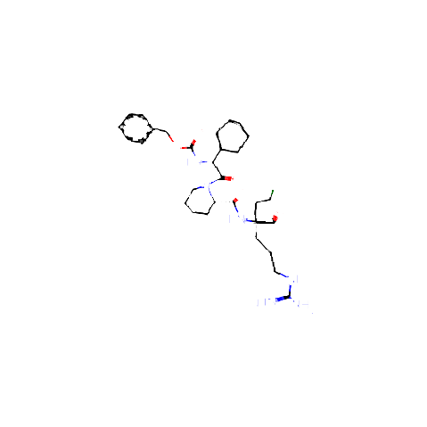 N=C(N)NCCC[C@](C=O)(CCF)NC(=O)[C@@H]1CCCCN1C(=O)[C@@H](NC(=O)OCc1ccccc1)C1CCCCC1